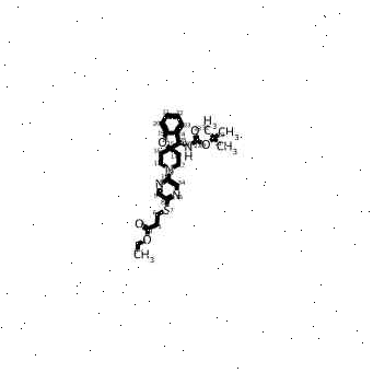 CCOC(=O)CCSc1cnc(N2CCC3(CC2)Oc2ccccc2[C@H]3NC(=O)OC(C)(C)C)cn1